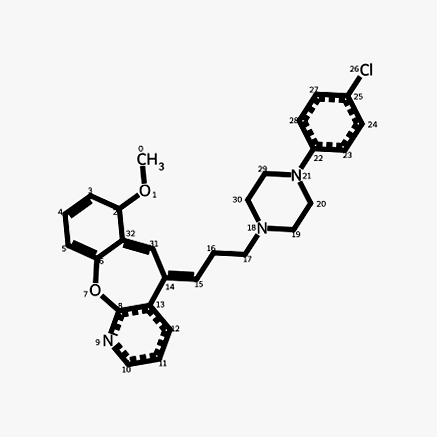 COC1C=CC=C2Oc3ncccc3C(=CCCN3CCN(c4ccc(Cl)cc4)CC3)C=C21